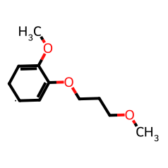 COCCCOC1=C[CH]CC=C1OC